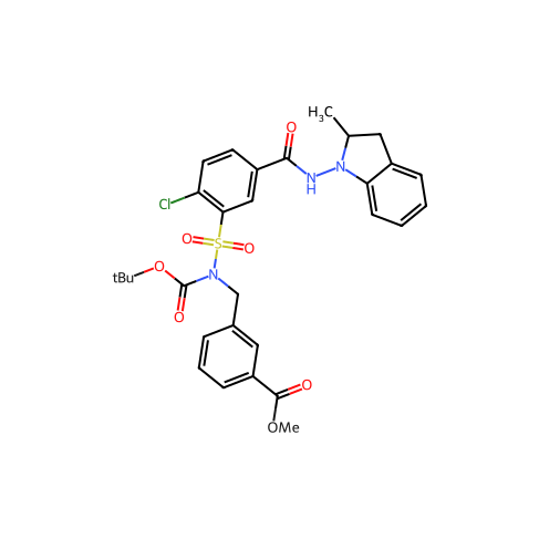 COC(=O)c1cccc(CN(C(=O)OC(C)(C)C)S(=O)(=O)c2cc(C(=O)NN3c4ccccc4CC3C)ccc2Cl)c1